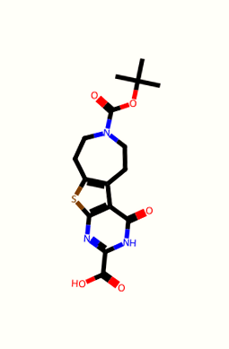 CC(C)(C)OC(=O)N1CCc2sc3nc(C(=O)O)[nH]c(=O)c3c2CC1